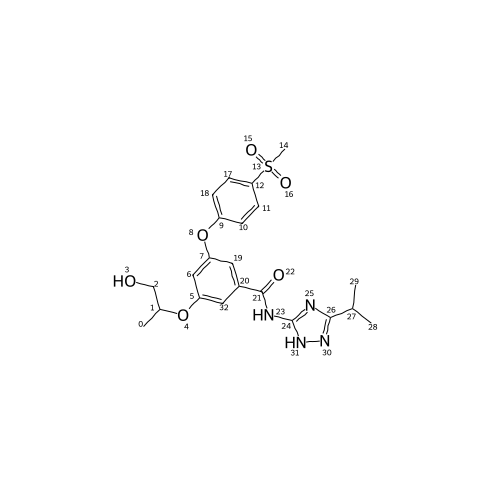 CC(CO)Oc1cc(Oc2ccc(S(C)(=O)=O)cc2)cc(C(=O)Nc2nc(C(C)C)n[nH]2)c1